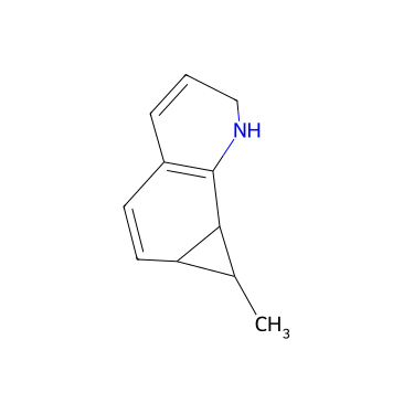 CC1C2C=CC3=C(NCC=C3)C12